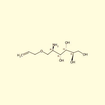 C=CCOC[C@@H](N)[C@@H](O)[C@H](O)[C@H](O)CO